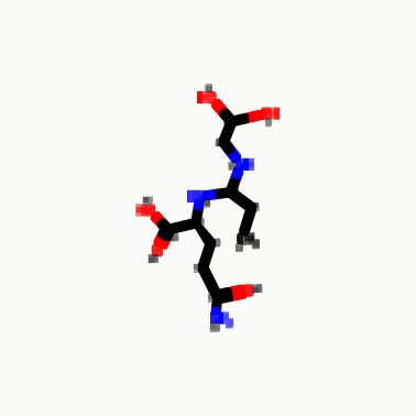 CCC(NCC(O)O)N[C@@H](CCC(N)=O)C(=O)O